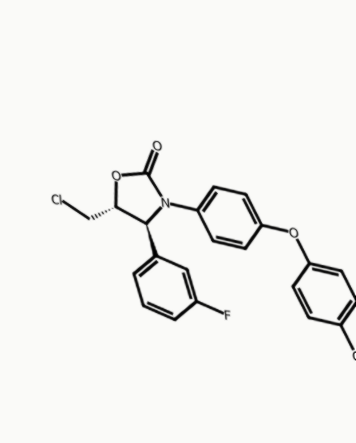 O=C1O[C@@H](CCl)[C@H](c2cccc(F)c2)N1c1ccc(Oc2ccc(Cl)cc2)cc1